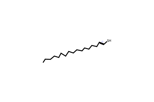 CCCCCCCCCCCCCCC/C=C/S